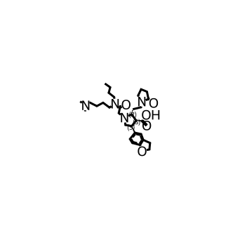 CCCCN(CCCCN(C)C)C(=O)CN1C[C@H](c2ccc3c(c2)CCO3)[C@H](C(=O)O)[C@H]1CCN1CCCC1=O